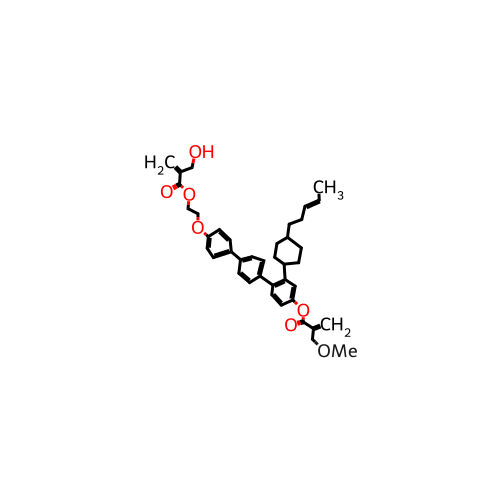 C=C(CO)C(=O)OCCOc1ccc(-c2ccc(-c3ccc(OC(=O)C(=C)COC)cc3C3CCC(CC/C=C/C)CC3)cc2)cc1